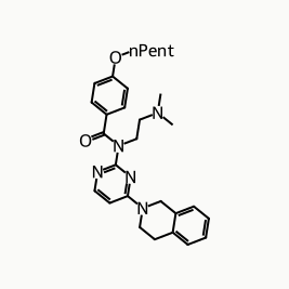 CCCCCOc1ccc(C(=O)N(CCN(C)C)c2nccc(N3CCc4ccccc4C3)n2)cc1